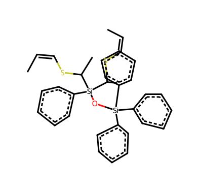 C/C=C\SC(C)[Si](O[Si](c1ccccc1)(c1ccccc1)c1ccccc1)(c1ccccc1)C(C)S/C=C\C